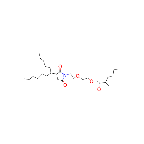 CCCCCCC(CCCCC)C1CC(=O)N(CCOCCOCC(=O)C(C)CCCC)C1=O